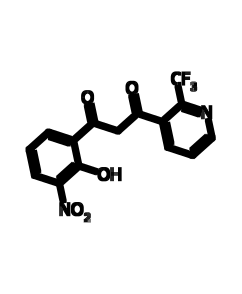 O=C(CC(=O)c1cccc([N+](=O)[O-])c1O)c1cccnc1C(F)(F)F